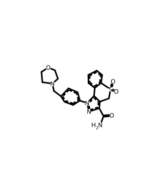 NC(=O)c1nn(-c2ccc(CN3CCOCC3)cc2)c2c1CS(=O)(=O)c1ccccc1-2